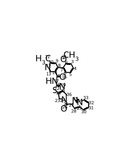 COc1ccccc1-c1cc(C)ncc1C(=O)Nc1nc2c(s1)CN(C(=O)c1cc3ccccn3n1)C2